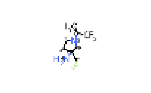 CC(N1CCC(N)(CF)C1)C(F)(F)F